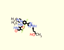 CC(O)CCC#CNc1ncc(-c2c(F)cc(N3CCN(C)C(C)C3)c(NC(=O)c3c[nH]c(=O)cc3C(F)F)c2F)cn1